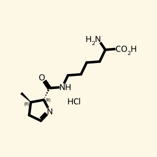 C[C@@H]1CC=N[C@H]1C(=O)NCCCCC(N)C(=O)O.Cl